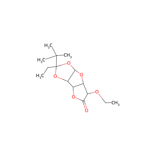 CCOC1C(=O)OC2C3OC(CC)(C(C)(C)C)OC3OC12